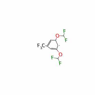 FC(F)OC1=CC(C(F)(F)F)=CC(OC(F)F)[CH]1